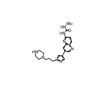 CC(C)(C)NC(=O)Nc1ccc2ncc(-c3cnn(CCCN4CCNCC4)c3)cc2n1